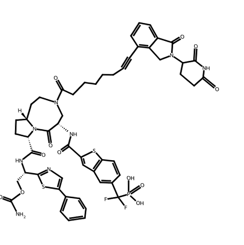 NC(=O)OC[C@H](NC(=O)[C@@H]1CC[C@@H]2CCN(C(=O)CCCCCC#Cc3cccc4c3CN(C3CCC(=O)NC3=O)C4=O)C[C@H](NC(=O)c3cc4cc(C(F)(F)P(=O)(O)O)ccc4s3)C(=O)N21)c1ncc(-c2ccccc2)s1